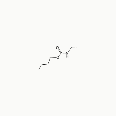 CCC[CH]OC(=O)NCC